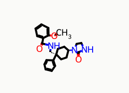 COc1ccccc1C(=O)NC[C@]1(c2ccccc2)CC[C@@H](N2CCNC2=O)CC1